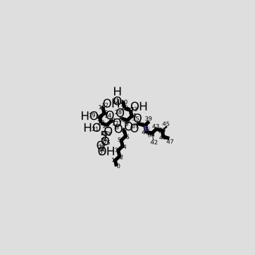 CCCCCCCC(=O)OC1C(OC2OC(CO)C(O)C(O)C2OSOOO)OC(CO)C(O)C1OC(=O)/C(C)=C/[C@@H](C)C[C@@H](C)CC